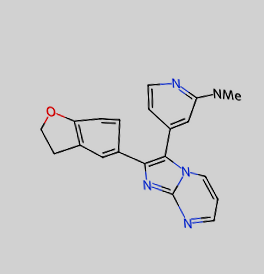 CNc1cc(-c2c(-c3ccc4c(c3)CCO4)nc3ncccn23)ccn1